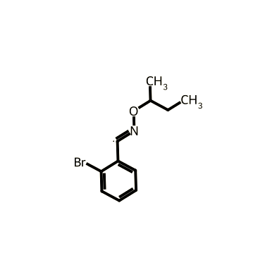 CCC(C)O/N=[C]/c1ccccc1Br